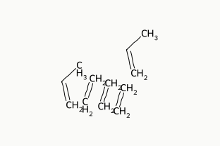 C=C.C=C.C=C.C=CC.C=CC